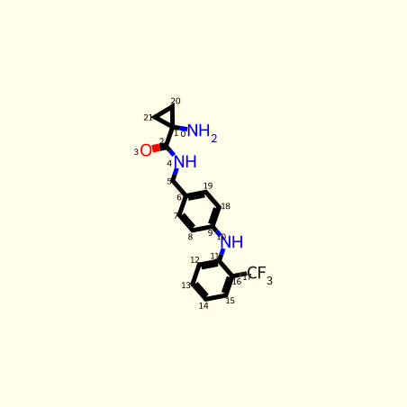 NC1(C(=O)NCc2ccc(Nc3ccccc3C(F)(F)F)cc2)CC1